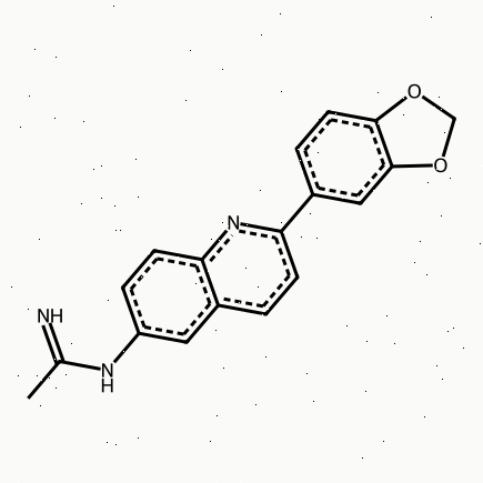 CC(=N)Nc1ccc2nc(-c3ccc4c(c3)OCO4)ccc2c1